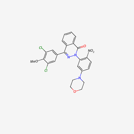 COc1c(Cl)cc(-c2nn(-c3cc(N4CCOCC4)ccc3[N+](=O)[O-])c(=O)c3ccccc23)cc1Cl